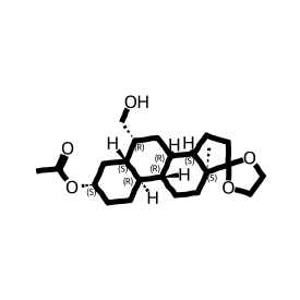 CC(=O)O[C@H]1CC[C@@H]2[C@H]3CC[C@@]4(C)[C@@H](CCC45OCCO5)[C@@H]3C[C@@H](CO)[C@H]2C1